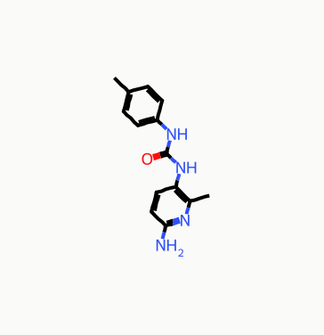 Cc1ccc(NC(=O)Nc2ccc(N)nc2C)cc1